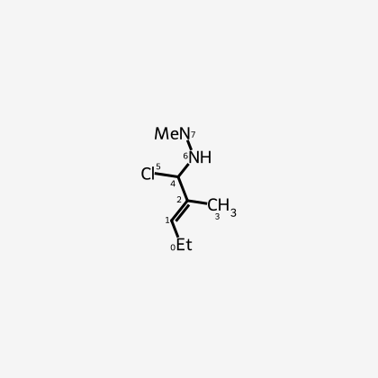 CC/C=C(\C)C(Cl)NNC